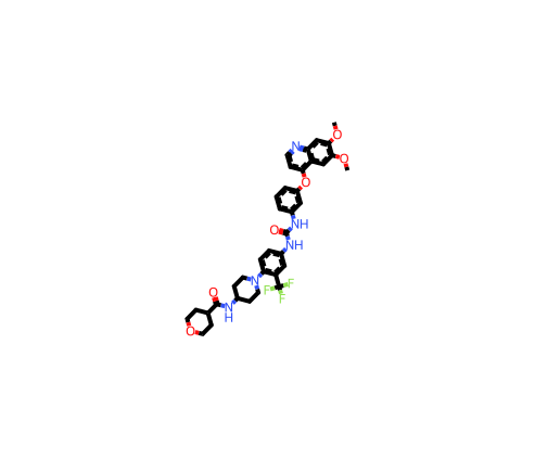 COc1cc2nccc(Oc3cccc(NC(=O)Nc4ccc(N5CCC(NC(=O)C6CCOCC6)CC5)c(C(F)(F)F)c4)c3)c2cc1OC